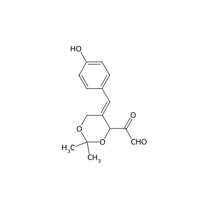 CC1(C)OCC(=Cc2ccc(O)cc2)C(C(=O)C=O)O1